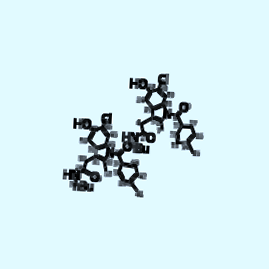 CCC(C)NC(=O)Cc1c(C)n(C(=O)c2ccc(C)cc2)c2cc(Cl)c(O)cc12.CCCCNC(=O)Cc1c(C)n(C(=O)c2ccc(C)cc2)c2cc(Cl)c(O)cc12